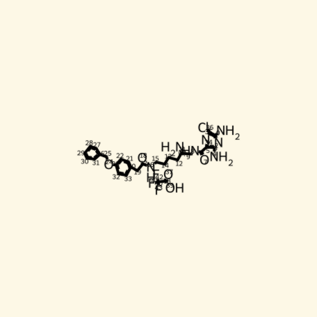 Nc1nc(N)c(C(=O)NC[C@@H](N)CCCCNC(=O)Cc2ccc(OCc3ccccc3)cc2)nc1Cl.O=C(O)C(F)(F)F